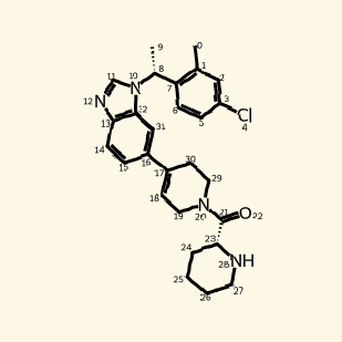 Cc1cc(Cl)ccc1[C@@H](C)n1cnc2ccc(C3=CCN(C(=O)[C@H]4CCCCN4)CC3)cc21